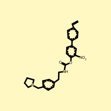 C=Cc1ccc(-c2ccc(OC(=O)NCCc3ccc(CN4CCCC4)cc3)c([N+](=O)[O-])c2)cc1